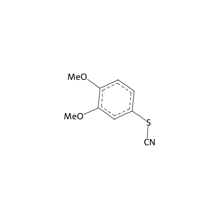 COc1ccc(SC#N)cc1OC